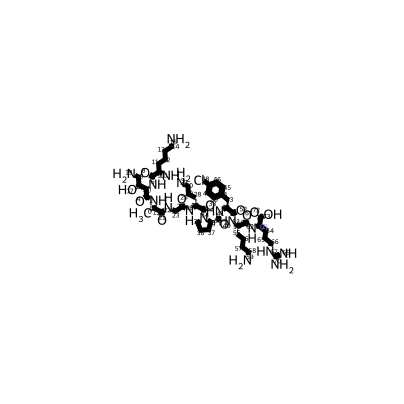 C[C@H](NC(=O)[C@@H](NC(=O)C(N)CCCCN)[C@@H](O)CN)C(=O)NCC(=O)N[C@H](CCCN)C(=O)N1CCC[C@H]1C(=O)N[C@@H](Cc1ccc(Cl)cc1)C(=O)N[C@@H](CCCCN)C(=O)N/C(=C\CCNC(=N)N)C(=O)O